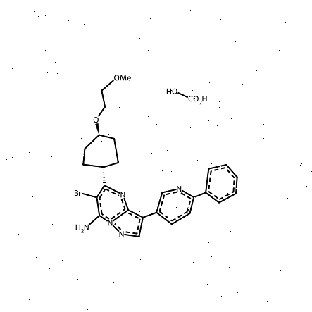 COCCO[C@H]1CC[C@H](c2nc3c(-c4ccc(-c5ccccc5)nc4)cnn3c(N)c2Br)CC1.O=C(O)O